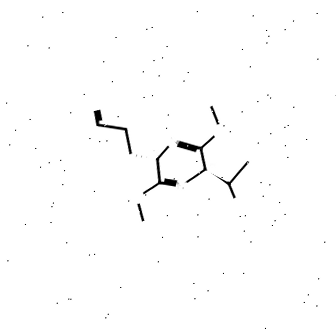 C=CCC[C@@H]1N=C(OC)[C@@H](C(C)C)N=C1OC